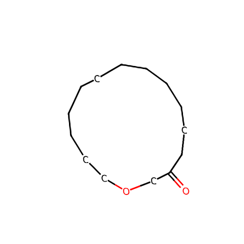 O=C1CCCCCCCCCCCCOC1